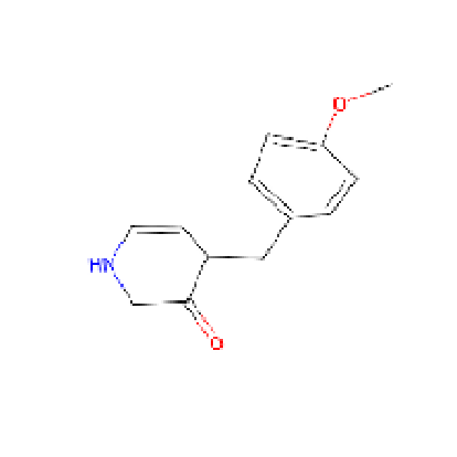 COc1ccc(CC2C=CNCC2=O)cc1